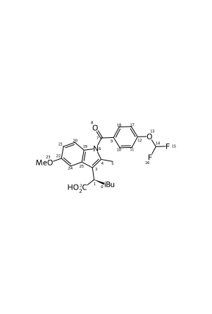 CCC(C)[C@@H](C(=O)O)c1c(C)n(C(=O)c2ccc(OC(F)F)cc2)c2ccc(OC)cc12